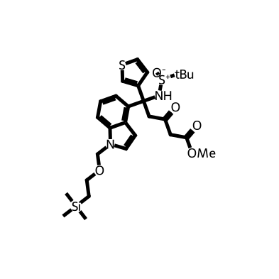 COC(=O)CC(=O)CC(N[S+]([O-])C(C)(C)C)(c1ccsc1)c1cccc2c1ccn2COCC[Si](C)(C)C